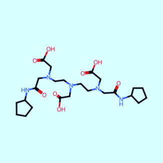 O=C(O)CN(CCN(CC(=O)O)CC(=O)NC1CCCC1)CCN(CC(=O)O)CC(=O)NC1CCCC1